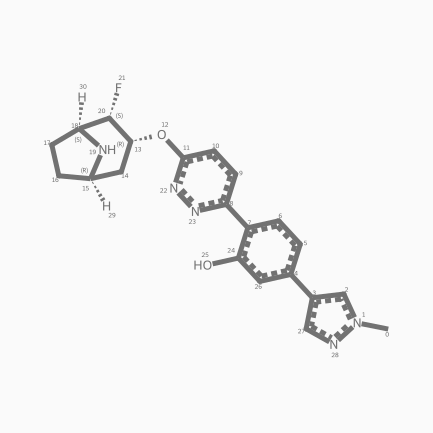 Cn1cc(-c2ccc(-c3ccc(O[C@@H]4C[C@H]5CC[C@H](N5)[C@@H]4F)nn3)c(O)c2)cn1